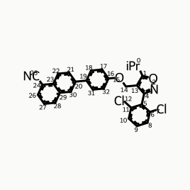 CC(C)c1onc(-c2c(Cl)cccc2Cl)c1COc1ccc(-c2ccc3c(C#N)cccc3c2)cc1